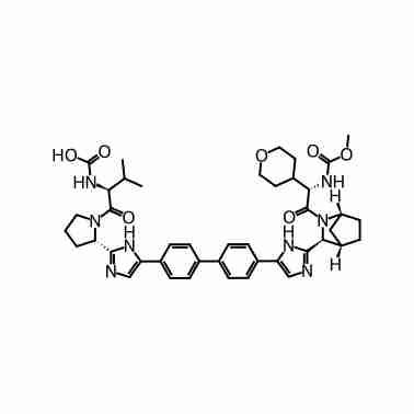 COC(=O)N[C@H](C(=O)N1[C@@H]2CC[C@@H](C2)[C@H]1c1ncc(-c2ccc(-c3ccc(-c4cnc([C@@H]5CCCN5C(=O)[C@@H](NC(=O)O)C(C)C)[nH]4)cc3)cc2)[nH]1)C1CCOCC1